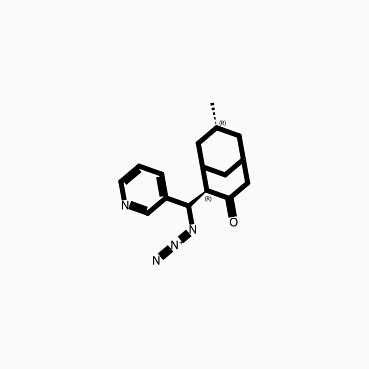 C[C@@H]1CC2CC(=O)[C@@H](C(N=[N+]=[N-])c3cccnc3)C(C2)C1